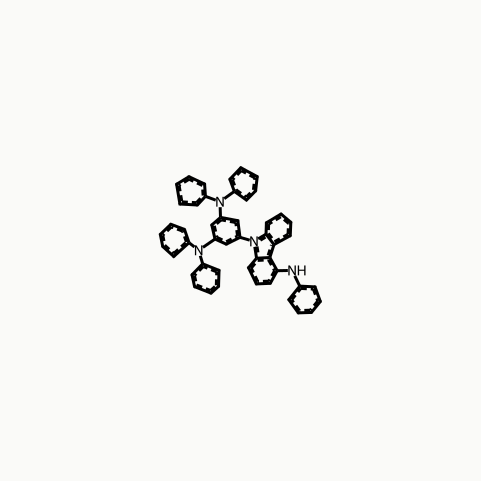 c1ccc(Nc2cccc3c2c2ccccc2n3-c2cc(N(c3ccccc3)c3ccccc3)cc(N(c3ccccc3)c3ccccc3)c2)cc1